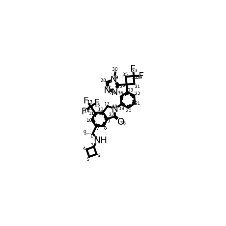 C[C@@H](NC1CCC1)c1cc2c(c(C(F)(F)F)c1)CN(c1cccc(C3(c4nncn4C)CC(F)(F)C3)c1)C2=O